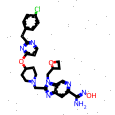 NC(=NO)c1cc2nc(CN3CCC(Oc4ccnc(Cc5ccc(Cl)cc5)n4)CC3)n(CC3CCO3)c2cn1